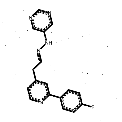 Fc1ccc(-c2cc(CC=NNc3cncnc3)ccn2)cc1